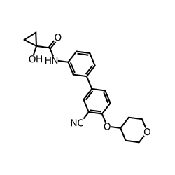 N#Cc1cc(-c2cccc(NC(=O)C3(O)CC3)c2)ccc1OC1CCOCC1